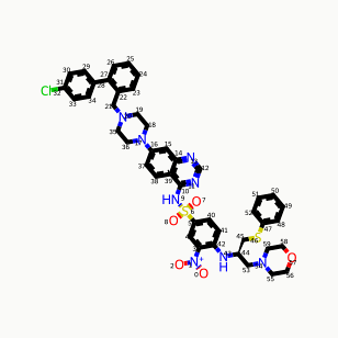 O=[N+]([O-])c1cc(S(=O)(=O)Nc2ncnc3cc(N4CCN(Cc5ccccc5-c5ccc(Cl)cc5)CC4)ccc23)ccc1N[C@@H](CSc1ccccc1)CN1CCOCC1